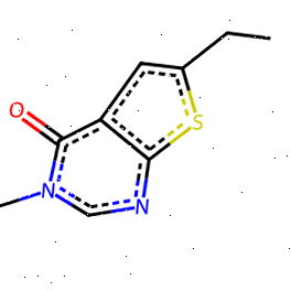 CCc1cc2c(=O)n(CC)cnc2s1